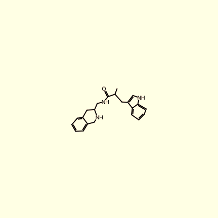 CC(Cc1c[nH]c2ccccc12)C(=O)NCC1Cc2ccccc2CN1